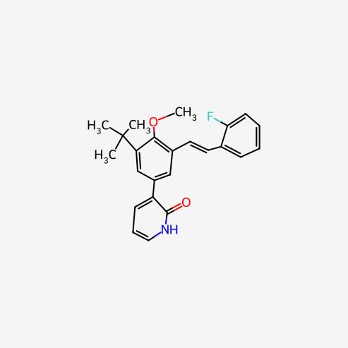 COc1c(C=Cc2ccccc2F)cc(-c2ccc[nH]c2=O)cc1C(C)(C)C